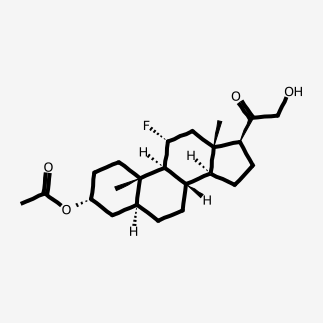 CC(=O)O[C@@H]1CC[C@@]2(C)[C@@H](CC[C@@H]3[C@@H]2[C@H](F)C[C@]2(C)[C@@H](C(=O)CO)CC[C@@H]32)C1